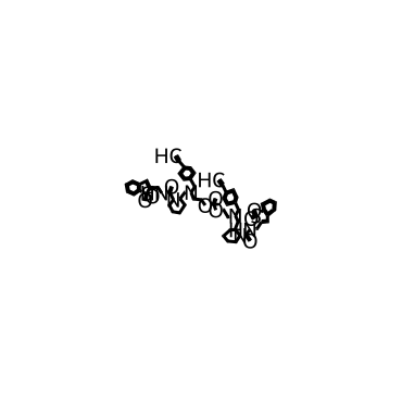 C#Cc1ccc(CN(CCOC(=O)OCCN(Cc2ccc(C#C)cc2)CC2CCCCN2C(=O)NCC2=Cc3ccccc3S2(=O)=O)CC2CCCCN2C(=O)NCC2=Cc3ccccc3S2(=O)=O)cc1